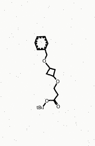 CC(C)(C)OC(=O)CCOC1CC(OCc2ccccc2)C1